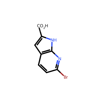 O=C(O)c1cc2ccc(Br)nc2[nH]1